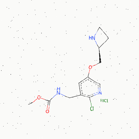 COC(=O)NCc1cc(OC[C@@H]2CCN2)cnc1Cl.Cl